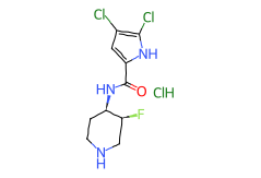 Cl.O=C(N[C@@H]1CCNC[C@@H]1F)c1cc(Cl)c(Cl)[nH]1